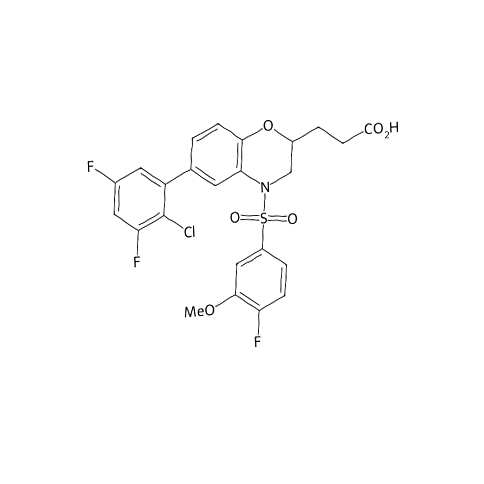 COc1cc(S(=O)(=O)N2CC(CCC(=O)O)Oc3ccc(-c4cc(F)cc(F)c4Cl)cc32)ccc1F